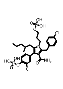 CCCC(C)Cc1c(-c2ccc(OP(=O)(O)O)c(Cl)c2)c(C(N)=O)c(Cc2ccc(Cl)cc2)n1CCCOP(=O)(O)O